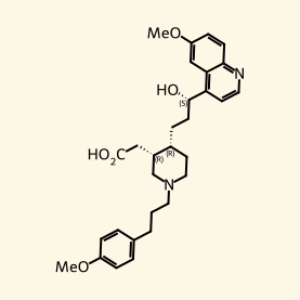 COc1ccc(CCCN2CC[C@@H](CC[C@H](O)c3ccnc4ccc(OC)cc34)[C@@H](CC(=O)O)C2)cc1